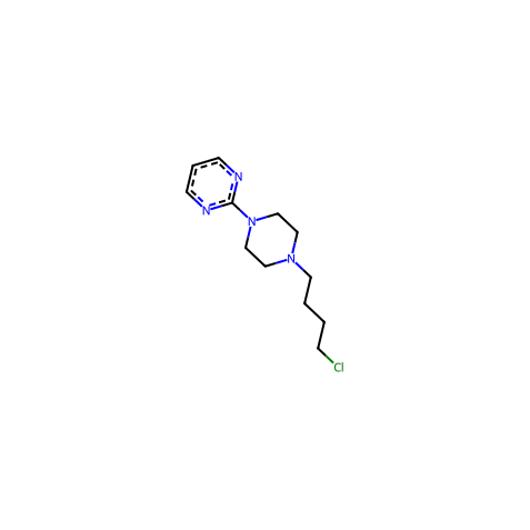 ClCCCCN1CCN(c2ncccn2)CC1